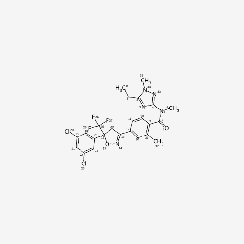 CCc1nc(N(C)C(=O)c2ccc(C3=NOC(c4cc(Cl)cc(Cl)c4)(C(F)(F)F)C3)cc2C)nn1C